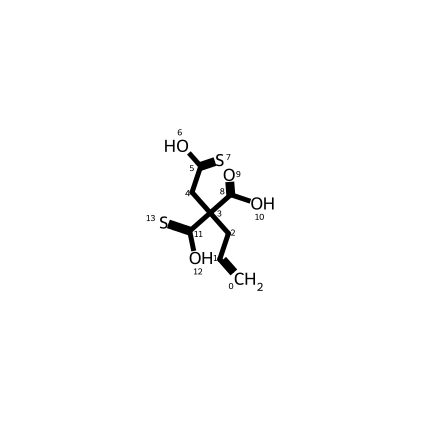 C=CCC(CC(O)=S)(C(=O)O)C(O)=S